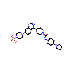 CS(=O)(=O)N1CCN(c2ccc3c(C4CCN(C(=O)Nc5ccc(N6CCCC6)cc5)CC4)ncnc3c2)CC1